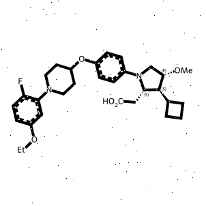 CCOc1ccc(F)c(N2CCC(Oc3ccc(N4C[C@H](OC)[C@@H](C5CCC5)[C@@H]4CC(=O)O)cc3)CC2)c1